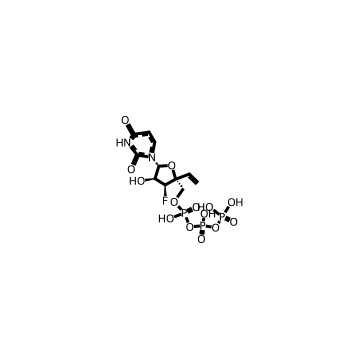 C=C[C@]1(COP(=O)(O)OP(=O)(O)OP(=O)(O)O)O[C@@H](n2ccc(=O)[nH]c2=O)[C@H](O)[C@@H]1F